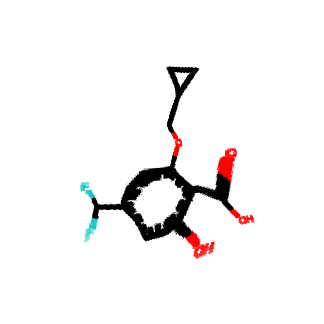 O=C(O)c1c(O)cc(C(F)F)cc1OCC1CC1